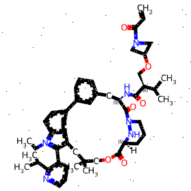 C=CC(=O)N1CC(OC[C@H](C(=O)N[C@H]2Cc3cccc(c3)-c3ccc4c(c3)c(c(-c3cccnc3C(C)C)n4CC)CC(C)(C)COC(=O)[C@@H]3CCCN(N3)C2=O)C(C)C)C1